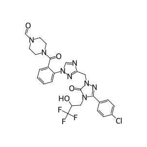 O=CN1CCN(C(=O)c2ccccc2-n2cnc(Cn3nc(-c4ccc(Cl)cc4)n(CC(O)C(F)(F)F)c3=O)n2)CC1